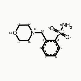 NS(=O)(=O)c1ccccc1CN1CCOCC1